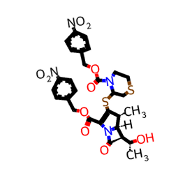 C[C@@H](O)[C@H]1C(=O)N2C(C(=O)OCc3ccc([N+](=O)[O-])cc3)=C(SC3CSCCN3C(=O)OCc3ccc([N+](=O)[O-])cc3)[C@H](C)[C@@H]12